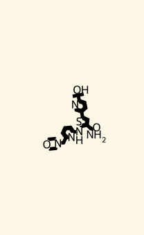 CC(C)(O)c1ccc(-c2cc(C(N)=O)c(Nc3cccc(CN4CCOCC4)n3)s2)cn1